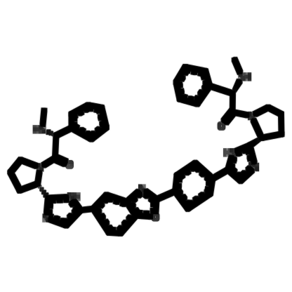 CN[C@@H](C(=O)N1CCC[C@H]1c1ncc(-c2ccc(-c3nc4cc(-c5cnc([C@@H]6CCCN6C(=O)[C@H](NC)c6ccccc6)[nH]5)ccc4o3)cc2)[nH]1)c1ccccc1